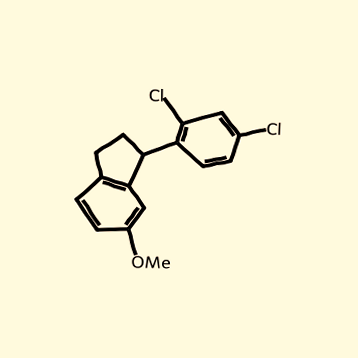 COc1ccc2c(c1)C(c1ccc(Cl)cc1Cl)CC2